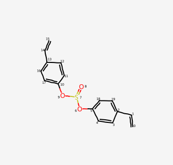 C=Cc1ccc(OS(=O)Oc2ccc(C=C)cc2)cc1